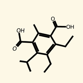 CCc1c(CC)c(C(C)C)c(C(=O)O)c(C)c1C(=O)O